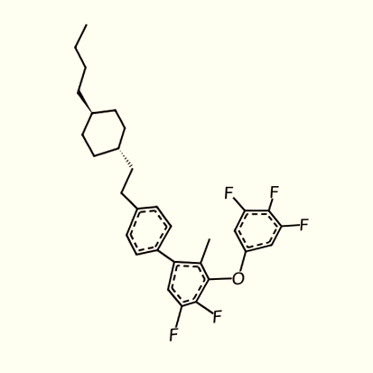 CCCC[C@H]1CC[C@H](CCc2ccc(-c3cc(F)c(F)c(Oc4cc(F)c(F)c(F)c4)c3C)cc2)CC1